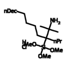 CCCCCCCCCCCCCCC(CCC)(C(C)(C)N)[Si](OC)(OC)OC.Cl